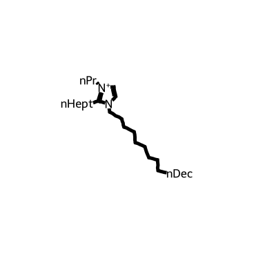 CCCCCCCCCCCCCCCCCCCn1cc[n+](CCC)c1CCCCCCC